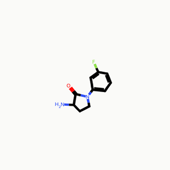 NC1CCN(c2cccc(F)c2)C1=O